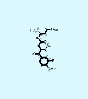 COc1ccc(C(=O)C(CC(=O)N[C@@H](CCSC)C(=O)O)SC(C)=O)cc1F